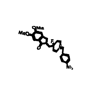 COc1cc2c(cc1OC)C(=O)C(CC1(F)CCN(Cc3ccc([N+](=O)[O-])cc3)CC1)C2